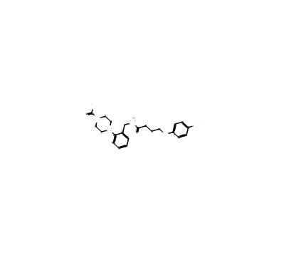 CC(=O)N1CCN(c2ccccc2CN(C)C(=O)CCCSc2ccc(O)cc2)CC1